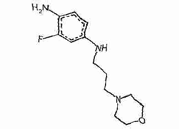 Nc1ccc(NCCCN2CCOCC2)cc1F